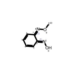 O/N=C1\C=CC=C\C1=N\OI